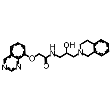 O=C(COc1cccc2cncnc12)NCC(O)CN1CCc2ccccc2C1